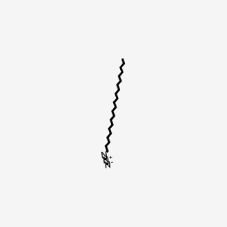 CCCCCCCCCCCCCCCCCCCCCCN=[N+]=[N-]